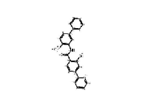 O=C(Nc1cc(-c2ccccc2)ccc1C(=O)O)c1ccc(-c2ccccn2)cc1O